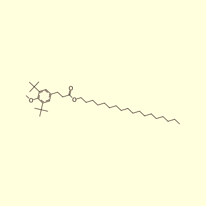 CCCCCCCCCCCCCCCCCCOC(=O)CCc1cc(C(C)(C)C)c(OC)c(C(C)(C)C)c1